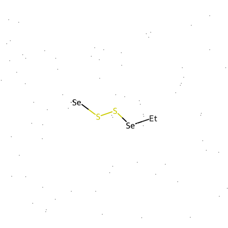 [CH2]C[Se]SS[Se]